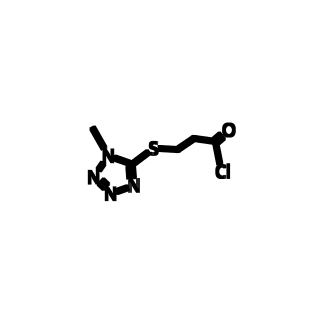 Cn1nnnc1SCCC(=O)Cl